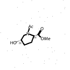 COC(=O)[C@@H]1CC[C@H](O)CN1C(C)=O